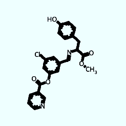 COC(=O)C(Cc1ccc(O)cc1)N=Cc1cc(Cl)cc(OC(=O)c2cccnc2)c1